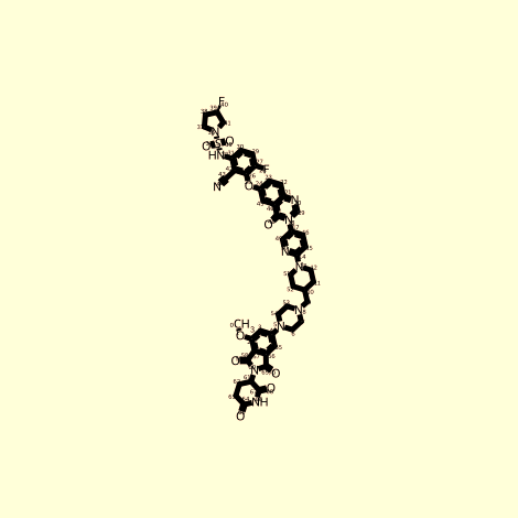 COc1cc(N2CCN(CC3CCN(c4ccc(-n5cnc6ccc(Oc7c(F)ccc(NS(=O)(=O)N8CC[C@@H](F)C8)c7C#N)cc6c5=O)cn4)CC3)CC2)cc2c1C(=O)N(C1CCC(=O)NC1=O)C2=O